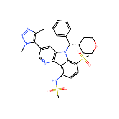 Cc1nnn(C)c1-c1cnc2c3c(NS(C)(=O)=O)ccc(S(C)(=O)=O)c3n([C@H](c3ccccc3)C3CCOCC3)c2c1